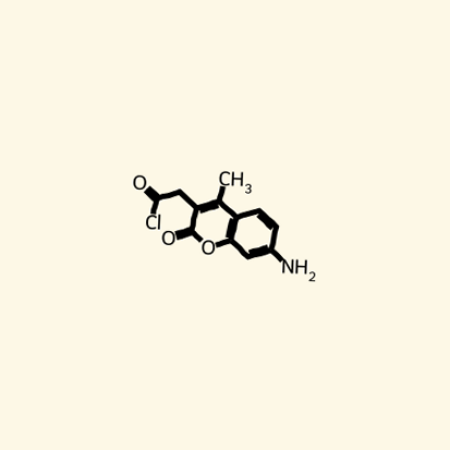 Cc1c(CC(=O)Cl)c(=O)oc2cc(N)ccc12